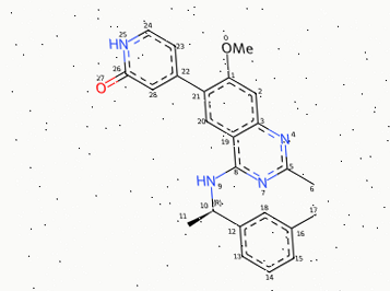 COc1cc2nc(C)nc(N[C@H](C)c3cccc(C)c3)c2cc1-c1cc[nH]c(=O)c1